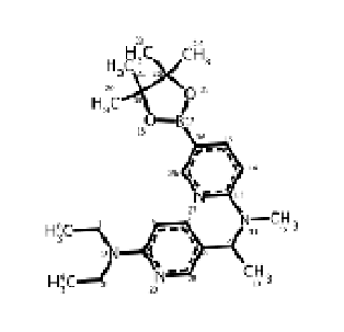 CCN(CC)c1ccc(C(C)N(C)c2ccc(B3OC(C)(C)C(C)(C)O3)cn2)cn1